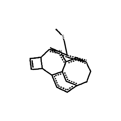 CSc1c2cc3nc1C1C=CC1c1ccc(cc1-3)CC2